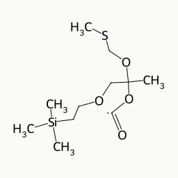 CSCOC(C)(COCC[Si](C)(C)C)O[C]=O